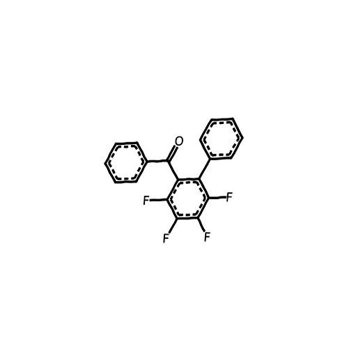 O=C(c1ccccc1)c1c(F)c(F)c(F)c(F)c1-c1ccccc1